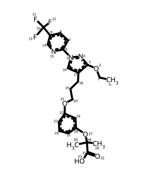 CCOc1nn(-c2ccc(C(F)(F)F)cn2)cc1CCCOc1cccc(OC(C)(C)C(=O)O)c1